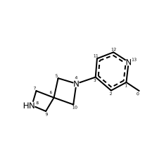 Cc1cc(N2CC3(CNC3)C2)ccn1